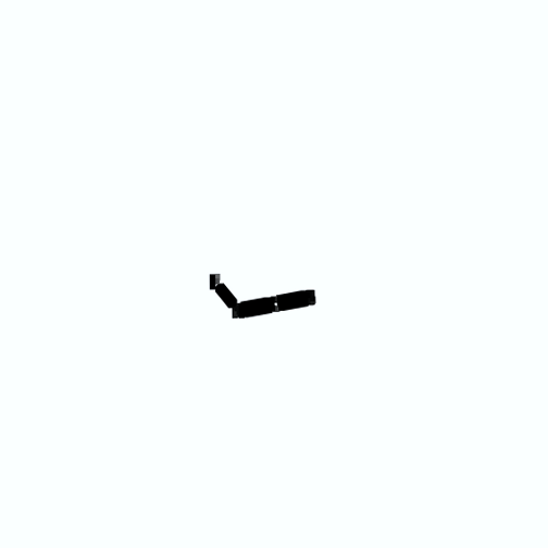 FN=C=S